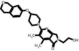 Cc1c(N2CCC(Oc3ccc4c(c3)COCC4)CC2)nc2c(c1C)C(=O)N(CCO)C2